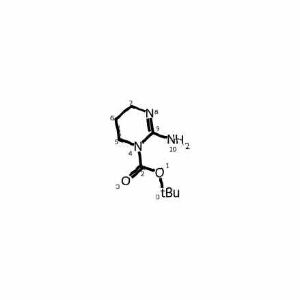 CC(C)(C)OC(=O)N1CCCN=C1N